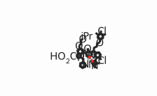 Cc1cc(OCCCc2c3n(c4c(-c5c(C)nn(C)c5C)c(Cl)ccc24)[C@H](C)CN(c2cc(OCCOC(C)C)cc4c(C(=O)O)cn(Cc5ccccn5)c24)C3=O)cc(C)c1Cl